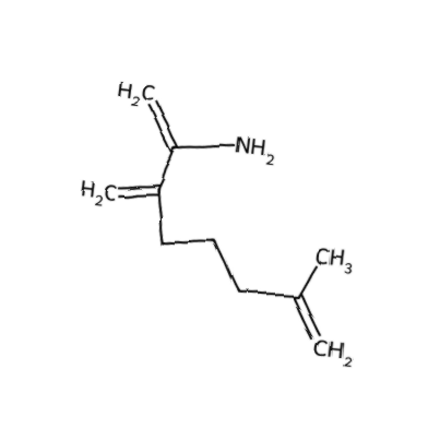 C=C(C)CCCC(=C)C(=C)N